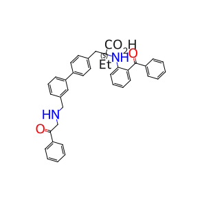 CC[C@@](Cc1ccc(-c2cccc(CNCC(=O)c3ccccc3)c2)cc1)(Nc1ccccc1C(=O)c1ccccc1)C(=O)O